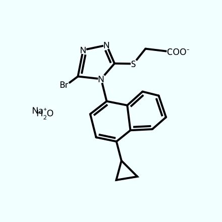 O.O=C([O-])CSc1nnc(Br)n1-c1ccc(C2CC2)c2ccccc12.[Na+]